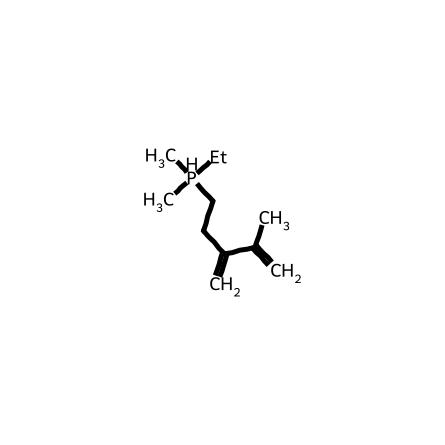 C=C(C)C(=C)CC[PH](C)(C)CC